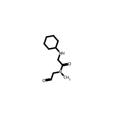 CN(C[C]=O)C(=O)CNC1CCCCC1